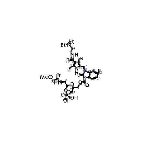 CCN(CC)CCNC(=O)c1c(C)[nH]c(/C=C2\C(=O)N(C(=O)OCC(COP(=O)(O)O)OC(=O)CNC(=O)COC)c3ccc(F)cc32)c1C